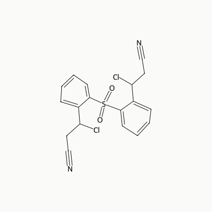 N#CCC(Cl)c1ccccc1S(=O)(=O)c1ccccc1C(Cl)CC#N